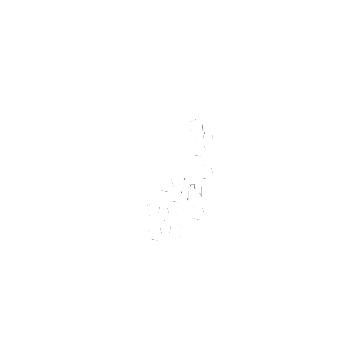 c1ccc(-c2nc(-c3cccc(-c4ccc5c(c4)oc4ccccc45)c3)nc(-c3ccccc3-c3ccc4c(c3)C3(c5ccccc5-c5ccccc53)c3ccccc3-4)n2)cc1